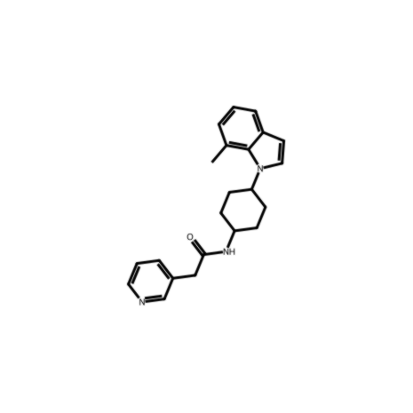 Cc1cccc2ccn(C3CCC(NC(=O)Cc4cccnc4)CC3)c12